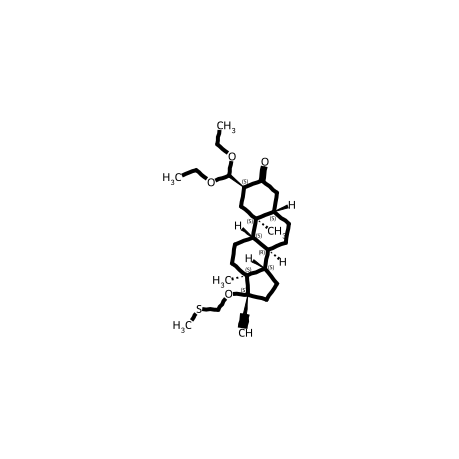 C#C[C@]1(OCSC)CC[C@H]2[C@@H]3CC[C@H]4CC(=O)[C@H](C(OCC)OCC)C[C@]4(C)[C@H]3CC[C@@]21C